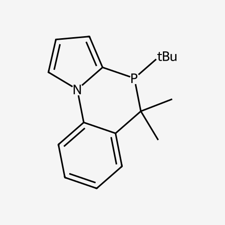 CC(C)(C)P1c2cccn2-c2ccccc2C1(C)C